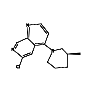 C[C@H]1CCCN(c2ccnc3cnc(Cl)cc23)C1